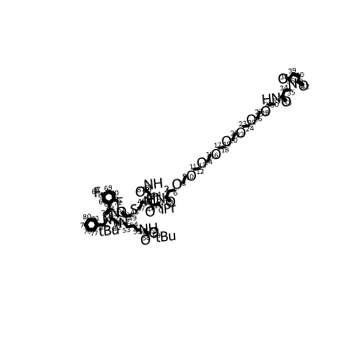 CC(C)[C@H](NC(=O)CCOCCOCCOCCOCCOCCOCCOCCOCCNC(=O)CCN1C(=O)C=CC1=O)C(=O)N(CCSCC(=O)N(CCCNC(=O)OC(C)(C)C)[C@@H](c1nc(-c2cc(F)ccc2F)cn1Cc1ccccc1)C(C)(C)C)[C@@H](C)C(N)=O